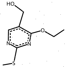 CCOc1nc(SC)ncc1CO